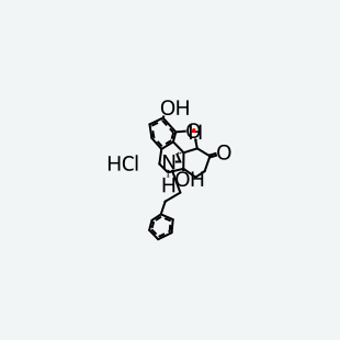 Cl.O=C1CC[C@@]2(O)[C@H]3Cc4ccc(O)c5c4[C@@]2(CCN3CCc2ccccc2)[C@H]1O5